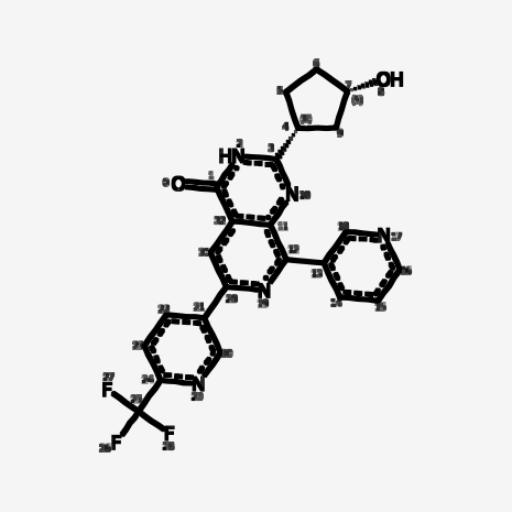 O=c1[nH]c([C@@H]2CC[C@H](O)C2)nc2c(-c3cccnc3)nc(-c3ccc(C(F)(F)F)nc3)cc12